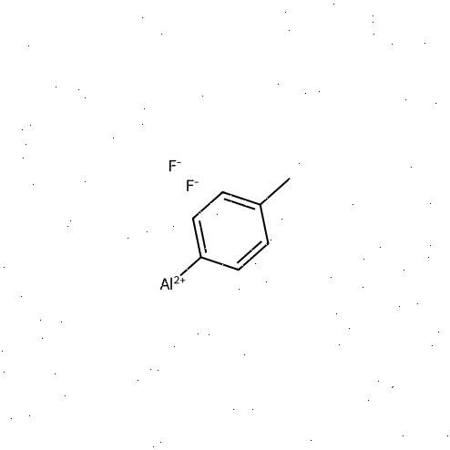 Cc1cc[c]([Al+2])cc1.[F-].[F-]